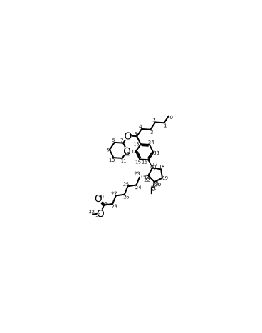 CCCCCC(OC1CCCCO1)c1ccc([C@H]2CC[C@@H](F)[C@@H]2CCCCCCC(=O)OC)cc1